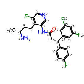 C[C@@H](N)CCc1c(F)cncc1NC(=O)C[C@@H](c1ccc(F)cc1)c1cc(F)cc(F)c1